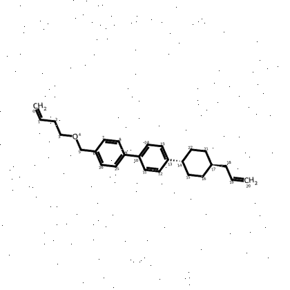 C=CCCOCc1ccc(-c2ccc([C@H]3CC[C@H](CC=C)CC3)cc2)cc1